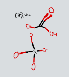 O=C([O-])O.[Al+3].[Ca+2].[O-][Si]([O-])([O-])[O-]